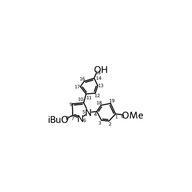 COc1ccc(-n2nc(OCC(C)C)cc2-c2ccc(O)cc2)cc1